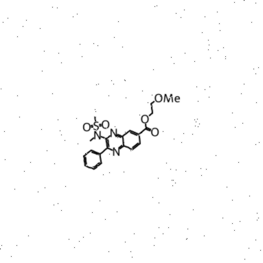 COCCOC(=O)c1ccc2nc(-c3ccccc3)c(N(C)S(C)(=O)=O)nc2c1